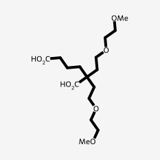 COCCOCCC(CCCC(=O)O)(CCOCCOC)C(=O)O